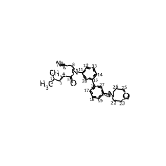 CC(C)CCC(=O)N(CC#N)c1cccc(-c2cccc(N3CCOCC3)c2)c1